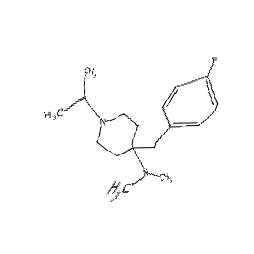 CC(C)N1CCC(Cc2ccc(F)cc2)(N(C)C)CC1